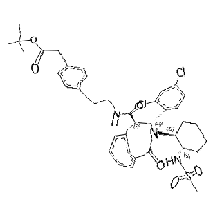 CC(C)(C)OC(=O)Cc1ccc(CCNC(=O)[C@@H]2c3ccccc3C(=O)N([C@H]3CCCC[C@@H]3NS(C)(=O)=O)[C@H]2c2ccc(Cl)cc2Cl)cc1